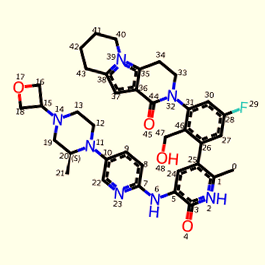 Cc1[nH]c(=O)c(Nc2ccc(N3CCN(C4COC4)C[C@@H]3C)cn2)cc1-c1cc(F)cc(N2CCc3c(cc4n3CCCC4)C2=O)c1CO